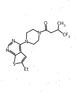 CCc1cc2c(N3CCN(C(=O)CC(C)C(F)(F)F)CC3)ncnc2s1